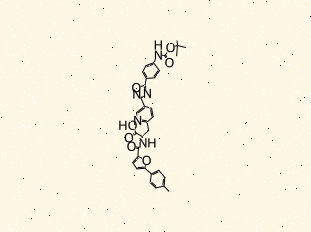 Cc1ccc(-c2ccc(C(=O)N[C@H](Cc3ccc(-c4noc(-c5ccc(NC(=O)OC(C)(C)C)cc5)n4)cn3)C(=O)O)o2)cc1